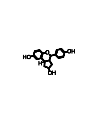 Oc1ccc(C2Oc3ccc(O)cc3[C@H]3CC(O)CC23)cc1